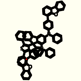 c1ccc(-c2sc(-c3ccccc3)c3c2-c2ccccc2C32c3ccccc3-c3cc(N(c4ccccc4)c4ccc(-c5cccc6c5oc5ccccc56)cc4)cc(N(c4ccccc4)c4ccc(-c5cccc6c5oc5ccccc56)cc4)c32)cc1